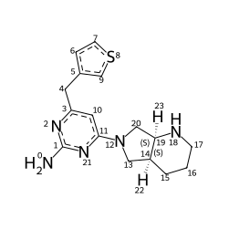 Nc1nc(Cc2ccsc2)cc(N2C[C@@H]3CCCN[C@@H]3C2)n1